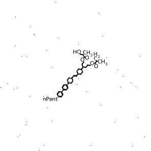 C=C(C)C(=O)OCCCC(CCOC(=O)C(=C)CO)C1CCC(/C=C/C2CCC(c3ccc(-c4ccc(CCCCC)cc4)cc3)CC2)CC1